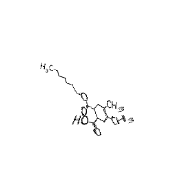 CCCCCCCOC(=O)C1CC(C)=C(C)CC1C(=O)O